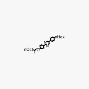 CCCCCCCCC(F)COc1ccc(-c2ncc(-c3ccc(CCCCCC)cc3)cn2)cc1